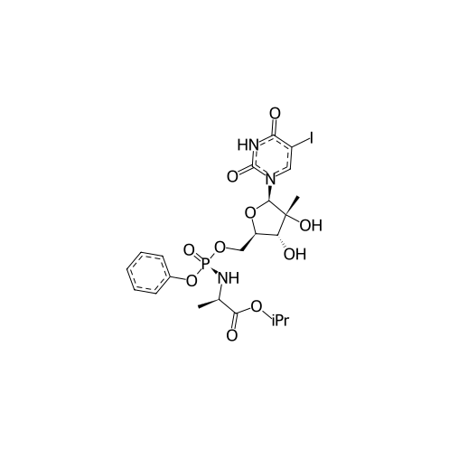 CC(C)OC(=O)[C@@H](C)N[P@@](=O)(OC[C@H]1O[C@@H](n2cc(I)c(=O)[nH]c2=O)[C@](C)(O)[C@@H]1O)Oc1ccccc1